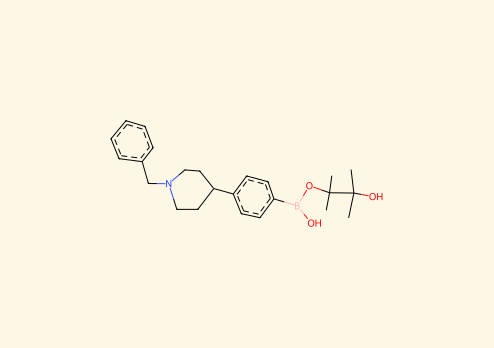 CC(C)(O)C(C)(C)OB(O)c1ccc(C2CCN(Cc3ccccc3)CC2)cc1